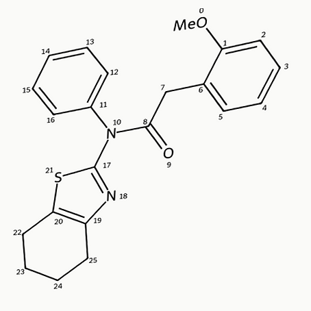 COc1ccccc1CC(=O)N(c1ccccc1)c1nc2c(s1)CCCC2